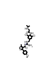 COc1ccc(-c2nsc(C)c2C(=O)/N=C(\N)NCc2cc(Cl)c(NC(=O)CNC(C)C)c(Cl)c2)cc1